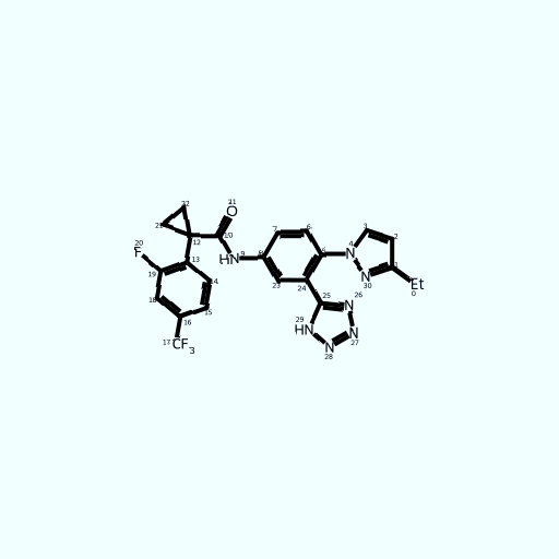 CCc1ccn(-c2ccc(NC(=O)C3(c4ccc(C(F)(F)F)cc4F)CC3)cc2-c2nnn[nH]2)n1